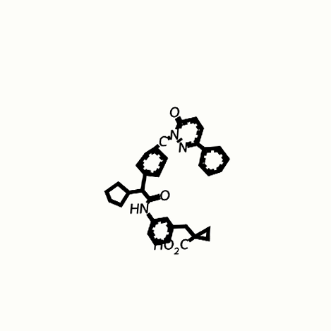 O=C(Nc1cccc(CC2(C(=O)O)CC2)c1)C(c1ccc(Cn2nc(-c3ccccc3)ccc2=O)cc1)C1CCCC1